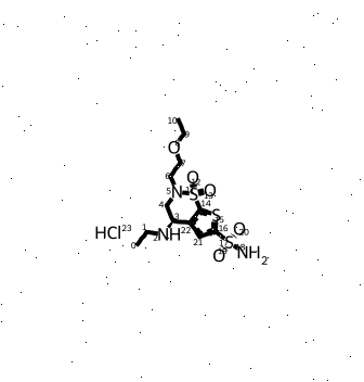 CCN[C@H]1CN(CCOCC)S(=O)(=O)c2sc(S(N)(=O)=O)cc21.Cl